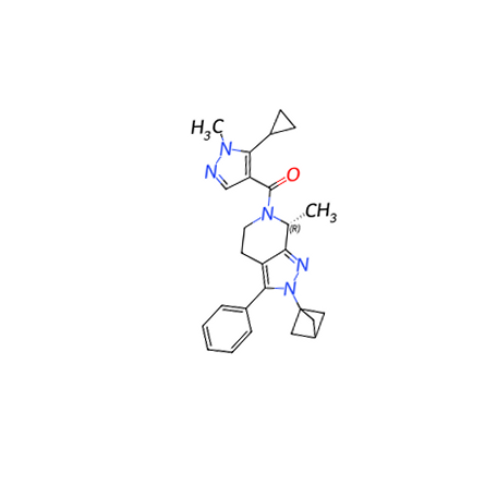 C[C@@H]1c2nn(C34CC(C3)C4)c(-c3ccccc3)c2CCN1C(=O)c1cnn(C)c1C1CC1